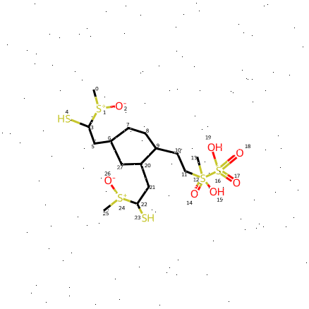 C[S+]([O-])C(S)CC1CCC(CCS(C)(=O)(O)S(=O)(=O)O)C(CC(S)[S+](C)[O-])C1